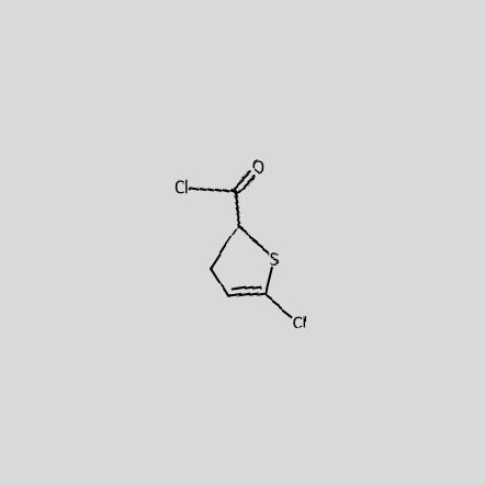 O=C(Cl)C1CC=C(Cl)S1